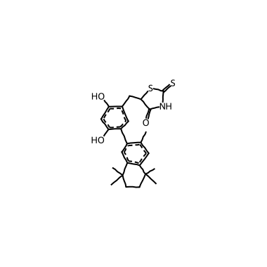 Cc1cc2c(cc1-c1cc(CC3SC(=S)NC3=O)c(O)cc1O)C(C)(C)CCC2(C)C